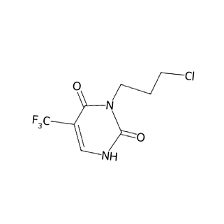 O=c1[nH]cc(C(F)(F)F)c(=O)n1CCCCl